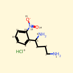 Cl.NCCCC(N)c1ccccc1[N+](=O)[O-]